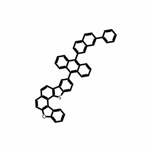 c1ccc(-c2ccc3ccc(-c4c5ccccc5c(-c5ccc6sc7c(ccc8ccc9oc%10ccccc%10c9c87)c6c5)c5ccccc45)cc3c2)cc1